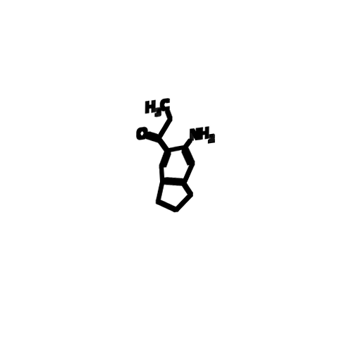 CCC(=O)c1cc2c(cc1N)CCC2